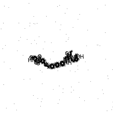 C=CCn1c(=O)c2cnc(Nc3ccc(N4CCN(C5CCN(CC6CN(c7ccc8c(c7)C(=O)N(C7CCC(=O)NC7=O)C8=O)C6)CC5)CC4)cc3)nc2n1-c1ccc2c(n1)[C@@](O)(CC)CC2